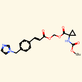 CC(C)(C)OC(=O)NC1(C(=O)OCOC(=O)/C=C/c2ccc(Cn3ccnc3)cc2)CC1